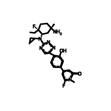 CC[C@@]1(F)CC[C@](C)(N)C[C@@H]1N(c1ncc(-c2ccc(-c3cc(F)n(C)c(=O)c3)cc2O)nn1)C1CC1